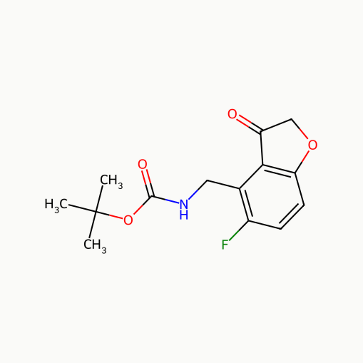 CC(C)(C)OC(=O)NCc1c(F)ccc2c1C(=O)CO2